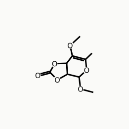 COC1=C(C)OC(OC)C2OC(=O)OC12